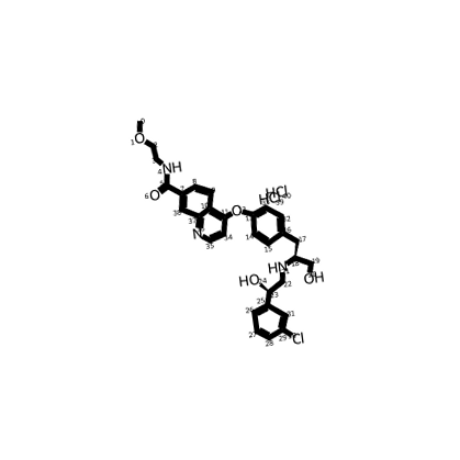 COCCNC(=O)c1ccc2c(Oc3ccc(C[C@@H](CO)NC[C@H](O)c4cccc(Cl)c4)cc3)ccnc2c1.Cl.Cl